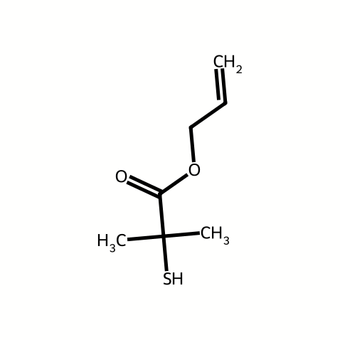 C=CCOC(=O)C(C)(C)S